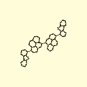 c1ccc2c(c1)sc1c(-c3ccc4cc(-c5cc6ccc(-c7cccc8c7sc7ccccc78)c7ccc8cccc5c8c67)c5cccc6ccc3c4c65)cccc12